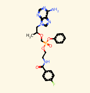 CC(Cn1cnc2c(N)ncnc21)OCP(=O)(OCCNC(=O)c1ccc(F)cc1)Oc1ccccc1